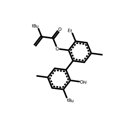 C=C(C(=O)Oc1c(CC)cc(C)cc1-c1cc(C)cc(C(C)(C)C)c1O)C(C)(C)C